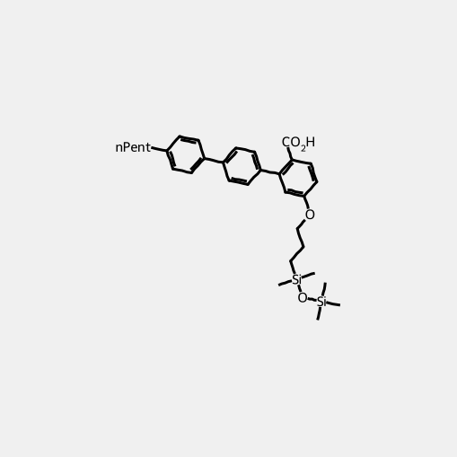 CCCCCc1ccc(-c2ccc(-c3cc(OCCC[Si](C)(C)O[Si](C)(C)C)ccc3C(=O)O)cc2)cc1